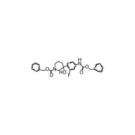 O=C(Nc1ccc(C2(O)CCCN(C(=O)OCc3ccccc3)C2)c(F)c1)OCc1ccccc1